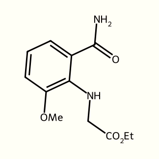 CCOC(=O)CNc1c(OC)cccc1C(N)=O